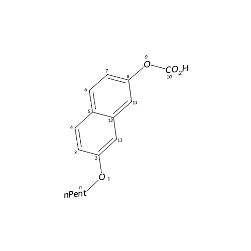 CCCCCOc1ccc2ccc(OC(=O)O)cc2c1